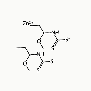 CCC(NC(=S)[S-])OC.CCC(NC(=S)[S-])OC.[Zn+2]